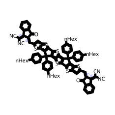 [C-]#[N+]/C(C#N)=C1\C(=C\c2cc3sc4c(c3s2)C(c2ccc(CCCCCC)cc2)(c2ccc(CCCCCC)cc2)c2c-4sc3c4c(sc23)-c2sc3cc(/C=C5\C(=O)c6ccccc6\C5=C(\C#N)[N+]#[C-])sc3c2C4(c2ccc(CCCCCC)cc2)c2ccc(CCCCCC)cc2)C(=O)c2ccccc21